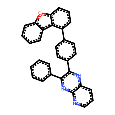 c1ccc(-c2nc3ncccc3nc2-c2ccc(-c3cccc4oc5ccccc5c34)cc2)cc1